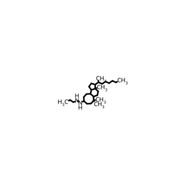 CCCCCCC(C)C1CCC2C3CCC(NNCCC)CCC(C)(C)C3CCC12C